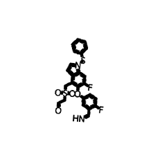 N=Cc1cc(Oc2c(F)cc3c(ccn3Sc3ccccc3)c2CS(=O)(=O)CC=O)ccc1F